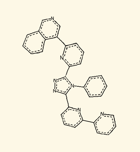 c1ccc(-n2c(-c3cccc(-c4ccccn4)n3)nnc2-c2cccc(-c3cncc4ccccc34)n2)cc1